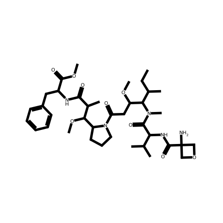 CCC(C)C(C(CC(=O)N1CCCC1C(OC)C(C)C(=O)NC(Cc1ccccc1)C(=O)OC)OC)N(C)C(=O)C(NC(=O)C1(N)COC1)C(C)C